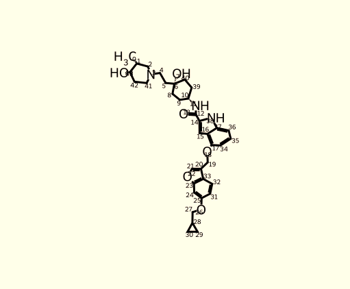 C[C@H]1CN(CC[C@]2(O)CC[C@@H](NC(=O)c3cc4c(OCc5coc6cc(OCC7CC7)ccc56)cccc4[nH]3)CC2)CC[C@@H]1O